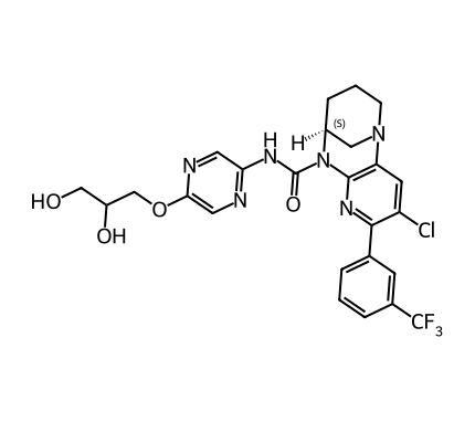 O=C(Nc1cnc(OCC(O)CO)cn1)N1c2nc(-c3cccc(C(F)(F)F)c3)c(Cl)cc2N2CCC[C@H]1C2